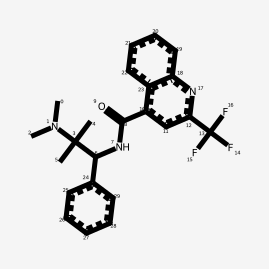 CN(C)C(C)(C)C(NC(=O)c1cc(C(F)(F)F)nc2ccccc12)c1ccccc1